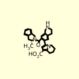 C[C@@H]1Cc2ccccc2CN1C(=O)c1cc2c(cc1-c1cc(C(=O)O)c3n1CCCC3)CCNC2